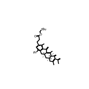 C=C(C)C1=C(C)C[C@@]2(C)C[C@@]3(C)Cc4c(C(C)C)cc(CCC(=O)OCC(C)(C)C)c(C)c4C(=C)C3=C(C)[C@@]2(C)C1=C